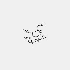 CC(=O)N[C@@H]1[C@H](O)[C@@H](O)[C@H](CO)O[C@@H]1O